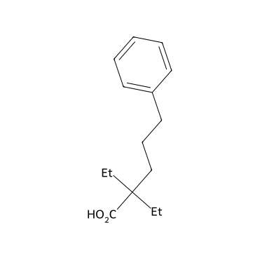 CCC(CC)(CCCc1ccccc1)C(=O)O